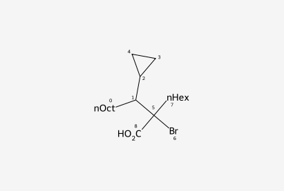 CCCCCCCCC(C1CC1)C(Br)(CCCCCC)C(=O)O